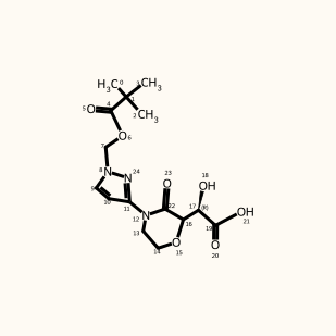 CC(C)(C)C(=O)OCn1ccc(N2CCOC([C@@H](O)C(=O)O)C2=O)n1